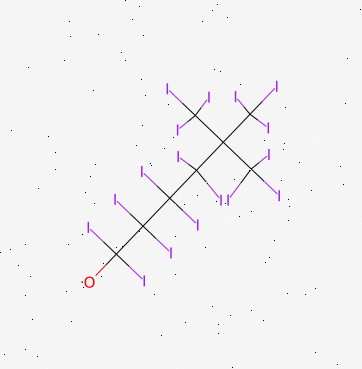 [O]C(I)(I)C(I)(I)C(I)(I)C(I)(I)C(C(I)(I)I)(C(I)(I)I)C(I)(I)I